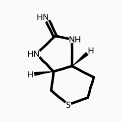 N=C1N[C@H]2CSCC[C@H]2N1